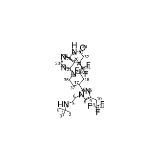 CC(C)(C)NCCn1cc(CC(F)(F)F)nc1C1CCN(c2ncnc3c2[C@H](C(F)(F)F)CC(=O)N3)CC1